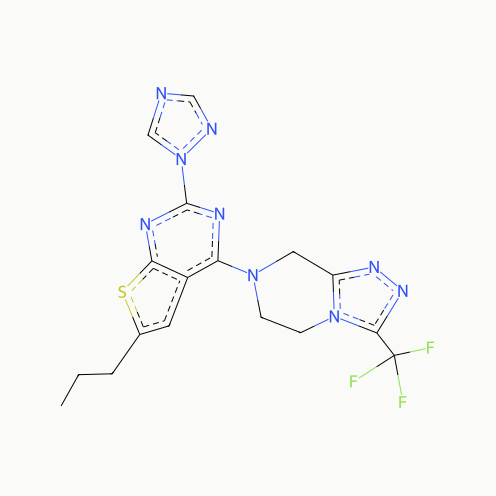 CCCc1cc2c(N3CCn4c(nnc4C(F)(F)F)C3)nc(-n3cncn3)nc2s1